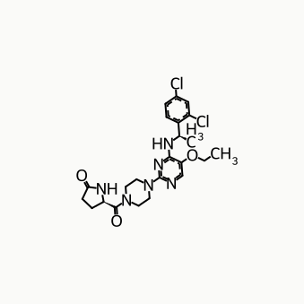 CCOc1cnc(N2CCN(C(=O)[C@H]3CCC(=O)N3)CC2)nc1N[C@H](C)c1ccc(Cl)cc1Cl